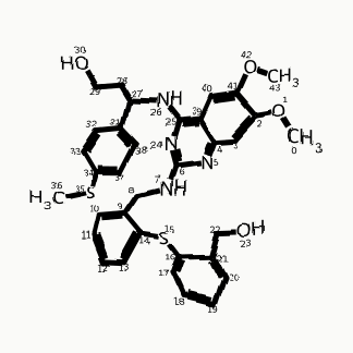 COc1cc2nc(NCc3ccccc3Sc3ccccc3CO)nc(NC(CCO)c3ccc(SC)cc3)c2cc1OC